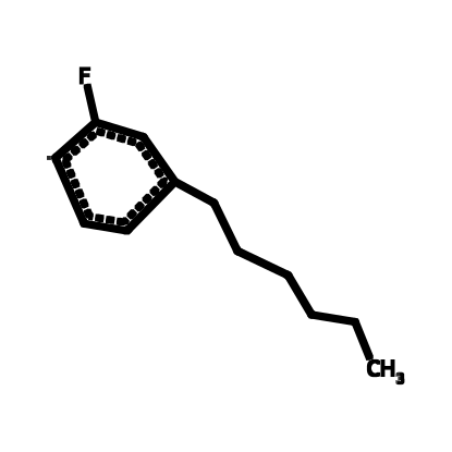 CCCCCCc1cc[c]c(F)c1